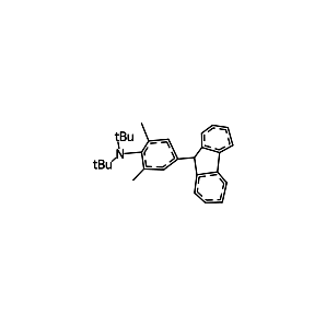 Cc1cc(C2c3ccccc3-c3ccccc32)cc(C)c1N(C(C)(C)C)C(C)(C)C